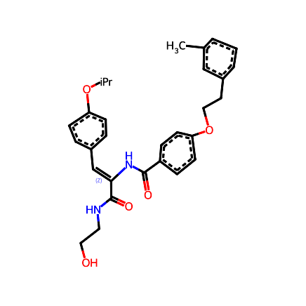 Cc1cccc(CCOc2ccc(C(=O)N/C(=C\c3ccc(OC(C)C)cc3)C(=O)NCCO)cc2)c1